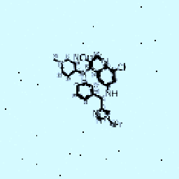 CC(C)n1cc([C@@H](Nc2cc(Cl)c3ncc(C#N)c(NC4CCN(C)CC4)c3c2)c2ccccc2)nn1